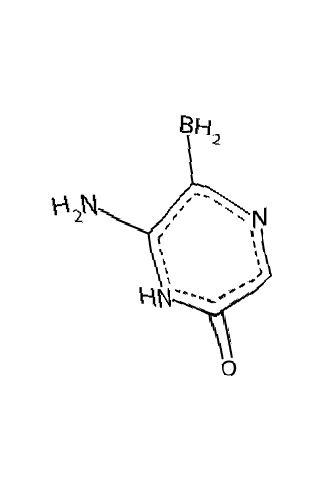 Bc1ncc(=O)[nH]c1N